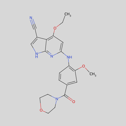 CCOc1cc(Nc2ccc(C(=O)N3CCOCC3)cc2OC)nc2[nH]cc(C#N)c12